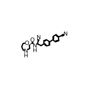 N#Cc1ccc(-c2ccc(CC(C#N)NC(=O)[C@H]3CNCCCO3)cc2)cc1